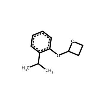 CC(C)c1ccccc1OC1CCO1